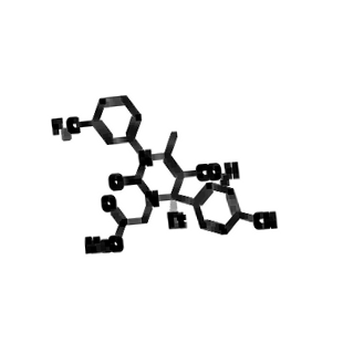 CC[C@@]1(c2ccc(C#N)cc2)C(C(=O)O)=C(C)N(c2cccc(C(F)(F)F)c2)C(=O)N1CC(=O)OC